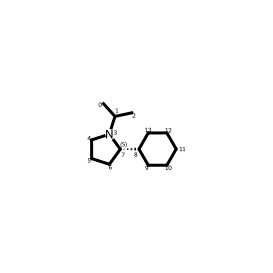 CC(C)N1CCC[C@H]1C1CCCCC1